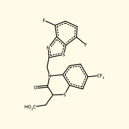 O=C(O)CC1Sc2cc(C(F)(F)F)ccc2N(Cc2nc3c(F)ccc(F)c3s2)C1=O